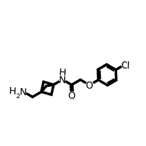 NCC12CC(NC(=O)COc3ccc(Cl)cc3)(C1)C2